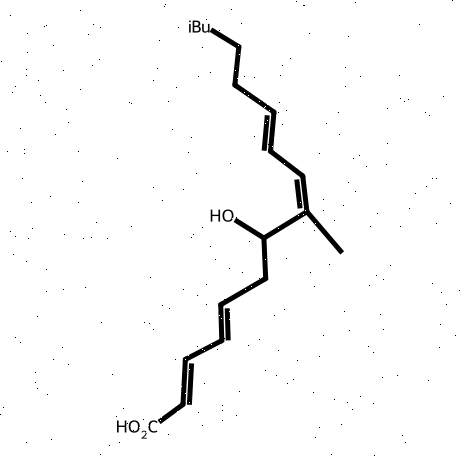 CCC(C)CCC=CC=C(C)C(O)CC=CC=CC(=O)O